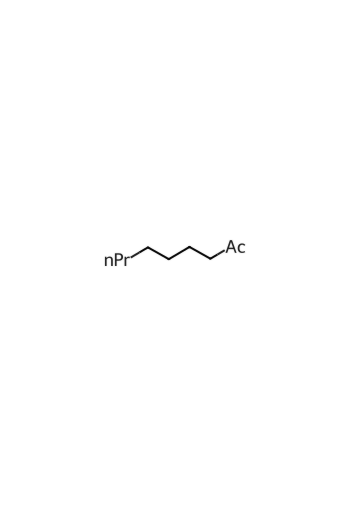 [CH]C(=O)CCCCCCC